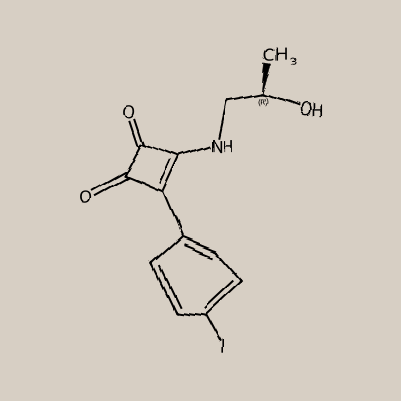 C[C@@H](O)CNc1c(-c2ccc(I)cc2)c(=O)c1=O